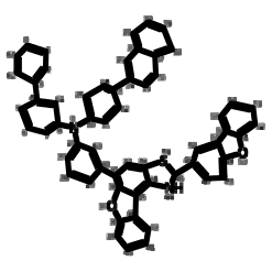 c1ccc(-c2cccc(N(c3ccc(-c4ccc5ccccc5c4)cc3)c3cccc(-c4cc5c(c6c4oc4ccccc46)NC(c4ccc6oc7ccccc7c6c4)S5)c3)c2)cc1